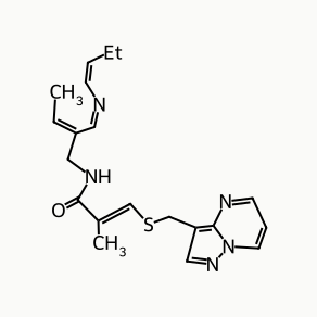 C\C=C(/C=N\C=C/CC)CNC(=O)/C(C)=C/SCc1cnn2cccnc12